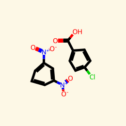 O=C(O)c1ccc(Cl)cc1.O=[N+]([O-])c1cccc([N+](=O)[O-])c1